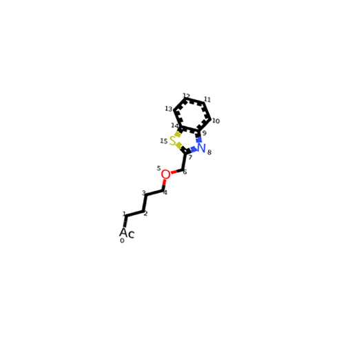 CC(=O)CCCCOCc1nc2ccccc2s1